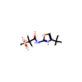 CC(C)(C)c1csc(NC(=O)C(C)(C)S(C)(=O)=O)n1